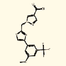 COc1cc(-c2csc(Cn3cc(C(=O)O)cn3)n2)cc(C(F)(F)F)c1